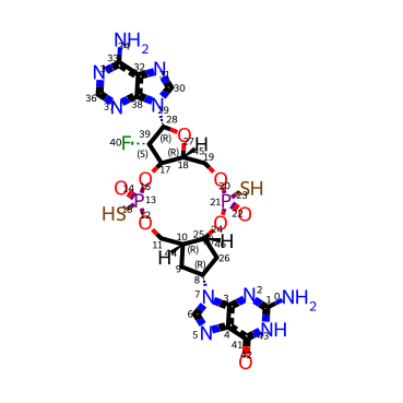 Nc1nc2c(ncn2[C@@H]2C[C@@H]3COP(=O)(S)OC4[C@@H](COP(=O)(S)O[C@@H]3C2)O[C@@H](n2cnc3c(N)ncnc32)[C@H]4F)c(=O)[nH]1